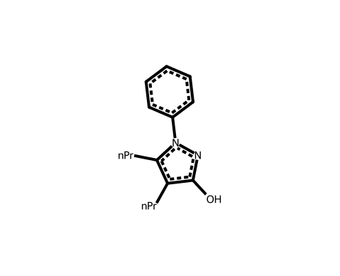 CCCc1c(O)nn(-c2ccccc2)c1CCC